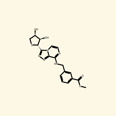 COC(=O)c1cccc(CNc2nccn3c([C@@H]4SC[C@@H](O)[C@H]4O)nnc23)c1